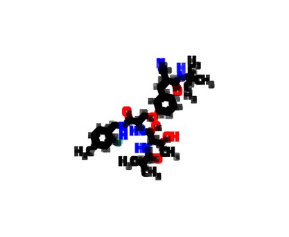 Cc1ccc(CNC(=O)C(COc2cccc(C=C(C#N)C(=O)NC(C)(C)C)c2)NC(=O)[C@@H](NC(=O)C(C)C)[C@@H](C)O)c(F)c1